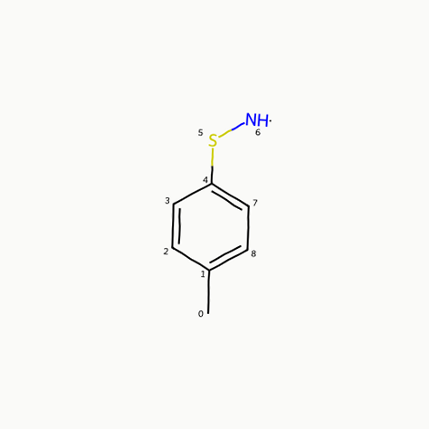 Cc1ccc(S[NH])cc1